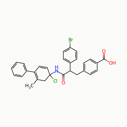 CC1=C(c2ccccc2)C=CC(Cl)(NC(=O)C(Cc2ccc(C(=O)O)cc2)c2ccc(Br)cc2)C1